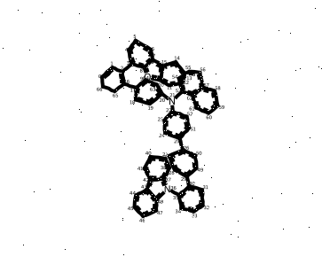 C1=CC(c2cccc3c2oc2ccccc23)=C(c2ccc(N(c3ccc(-c4ccc(-c5ccccc5-n5c6ccccc6c6ccccc65)cc4)cc3)c3cccc4ccccc34)cc2)CC1